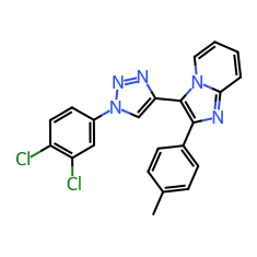 Cc1ccc(-c2nc3ccccn3c2-c2cn(-c3ccc(Cl)c(Cl)c3)nn2)cc1